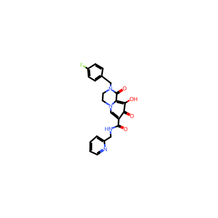 O=C(NCc1ccccn1)c1cn2c(c(O)c1=O)C(=O)N(Cc1ccc(F)cc1)CC2